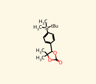 CC1(C)OC(=O)OC1c1ccc([Si](C)(C)C(C)(C)C)cc1